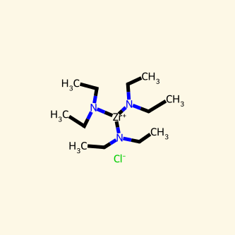 CC[N](CC)[Zr+]([N](CC)CC)[N](CC)CC.[Cl-]